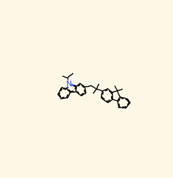 CC(C)n1c2ccccc2c2ccc(CC(C)(C)c3ccc4c(c3)C(C)(C)c3ccccc3-4)cc21